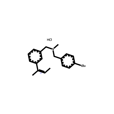 C/C=C(/C)c1cccc(CN(C)Cc2ccc(C(C)(C)C)cc2)c1.Cl